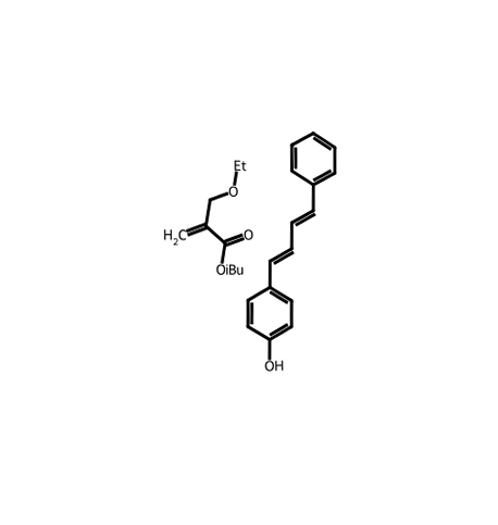 C=C(COCC)C(=O)OCC(C)C.Oc1ccc(C=CC=Cc2ccccc2)cc1